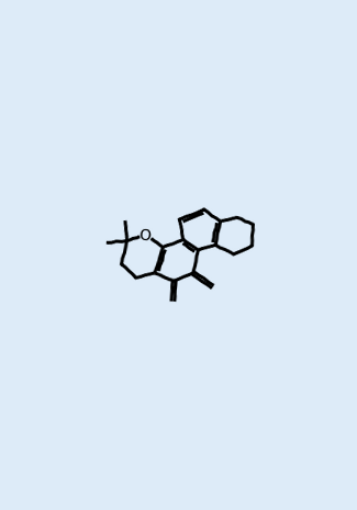 C=c1c2c(c3ccc4c(c3c1=C)CCCC4)OC(C)(C)CC2